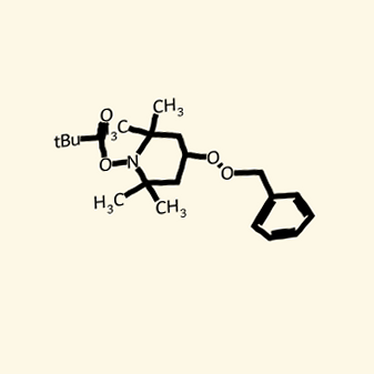 CC(C)(C)C(=O)ON1C(C)(C)CC(OOCc2ccccc2)CC1(C)C